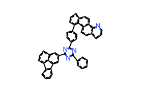 c1ccc(-c2nc(-c3ccc(-c4cccc5ccc6c(ccc7cccnc76)c45)cc3)nc(-c3cc4c5c(cccc5c3)-c3ccccc3-4)n2)cc1